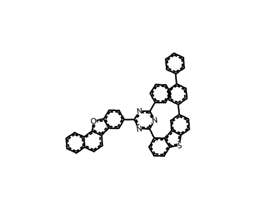 c1ccc(-c2ccc(-c3ccc4sc5cccc(-c6nc(-c7ccccc7)nc(-c7ccc8oc9c%10ccccc%10ccc9c8c7)n6)c5c4c3)cc2)cc1